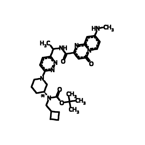 CNc1ccn2c(=O)cc(C(=O)NC(C)c3ccc(N4CCC[C@@H](N(CC5CCC5)C(=O)OC(C)(C)C)C4)nn3)nc2c1